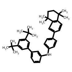 CC(C)(C)c1cc(-c2cccc(Nc3ccc(-c4ccc5c(c4)C(C)(C)CCC5(C)C)cc3)c2)cc(C(C)(C)C)c1